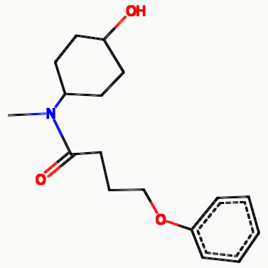 CN(C(=O)CCCOc1ccccc1)C1CCC(O)CC1